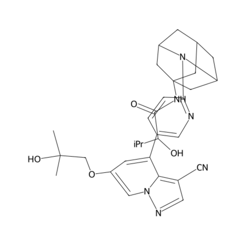 CC(C)C(O)C(=O)NC12CC3CC(C1)N(c1ccc(-c4cc(OCC(C)(C)O)cn5ncc(C#N)c45)cn1)C(C3)C2